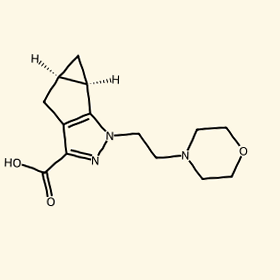 O=C(O)c1nn(CCN2CCOCC2)c2c1C[C@H]1C[C@@H]21